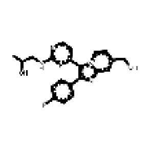 CC(O)CNc1nccc(-c2c(-c3ccc(F)cc3)nc3cc(CO)ccn23)n1